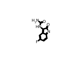 NC(=O)NC1=c2cc(F)ccc2=NC1=O